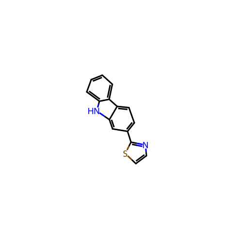 c1ccc2c(c1)[nH]c1cc(-c3nccs3)ccc12